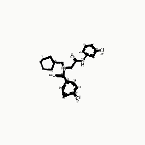 O=C(CN(CC1CCCCC1)C(=O)c1ccc(Cl)cc1)Nc1cccc(Cl)c1